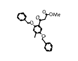 COC(=O)CC(=O)c1cc(OCc2ccccc2)c(C)cc1OCc1ccccc1